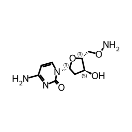 NOC[C@H]1O[C@@H](n2ccc(N)nc2=O)C[C@@H]1O